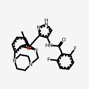 CN1c2c3cccc2N(CN2CCN3CC2)C1c1n[nH]cc1NC(=O)c1c(F)cccc1F